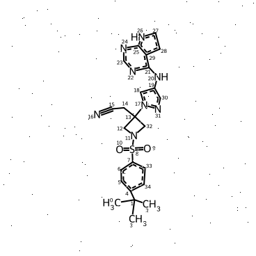 CC(C)(C)c1ccc(S(=O)(=O)N2CC(CC#N)(n3cc(Nc4ncnc5[nH]ccc45)cn3)C2)cc1